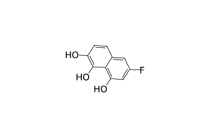 Oc1ccc2cc(F)cc(O)c2c1O